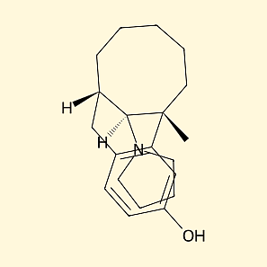 C[C@@]12CCCCC[C@@H](Cc3ccc(O)cc31)[C@@H]2N1CCCC1